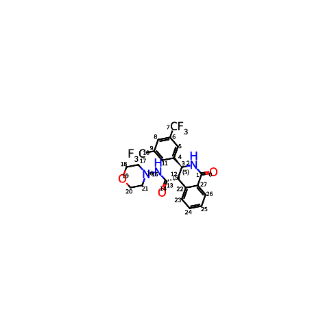 O=C1N[C@H](c2cc(C(F)(F)F)cc(C(F)(F)F)c2)[C@@H](C(=O)NN2CCOCC2)c2ccccc21